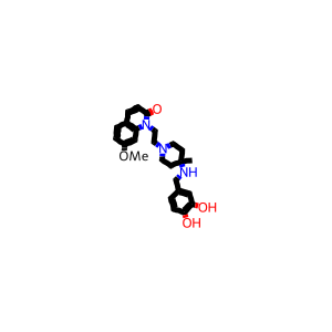 COc1ccc2ccc(=O)n(CCN3CCC(C)(NCc4ccc(O)c(O)c4)CC3)c2c1